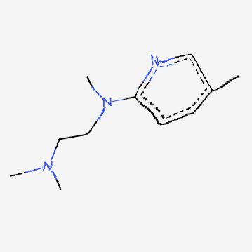 Cc1ccc(N(C)CCN(C)C)nc1